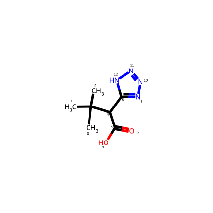 CC(C)(C)C(C(=O)O)c1nnn[nH]1